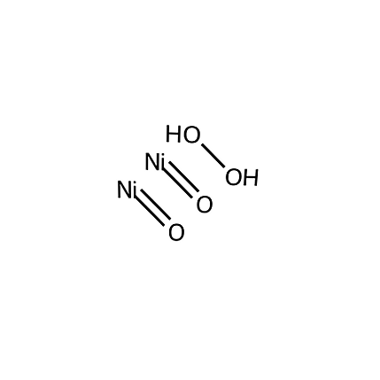 OO.[O]=[Ni].[O]=[Ni]